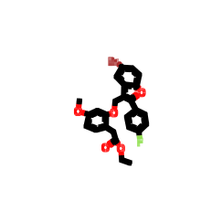 CCOC(=O)Cc1ccc(OC)cc1OCc1c(-c2ccc(F)cc2)oc2ccc(Br)cc12